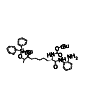 CC(O[Si](c1ccccc1)(c1ccccc1)C(C)(C)C)C(=O)CCCCC[C@H](NC(=O)OC(C)(C)C)C(=O)Nc1ccccc1N